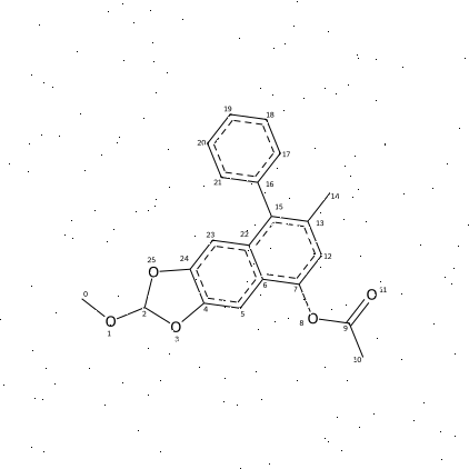 COC1Oc2cc3c(OC(C)=O)cc(C)c(-c4ccccc4)c3cc2O1